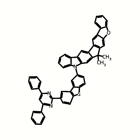 CC1(C)c2cc3oc4ccccc4c3cc2-c2cc3c4ccccc4n(-c4ccc5sc6ccc(-c7nc(-c8ccccc8)cc(-c8ccccc8)n7)cc6c5c4)c3cc21